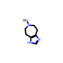 CC(C)(C)N1CCc2nc[nH]c2CC1